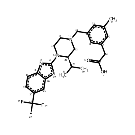 Cc1cc(CC(=O)O)cc(CN2CCN(c3nc4ccc(C(F)(F)F)cc4s3)[C@H](C(C)C)C2)c1